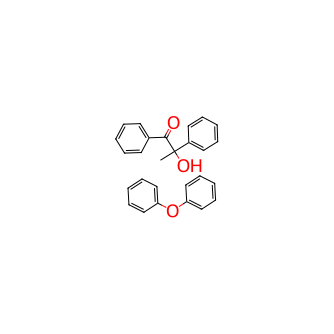 CC(O)(C(=O)c1ccccc1)c1ccccc1.c1ccc(Oc2ccccc2)cc1